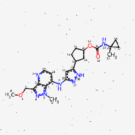 COCc1nn(C)c2c(Nc3cc(C4CCC(OC(=O)NC5(C)CC5)C4)[nH]n3)ccnc12